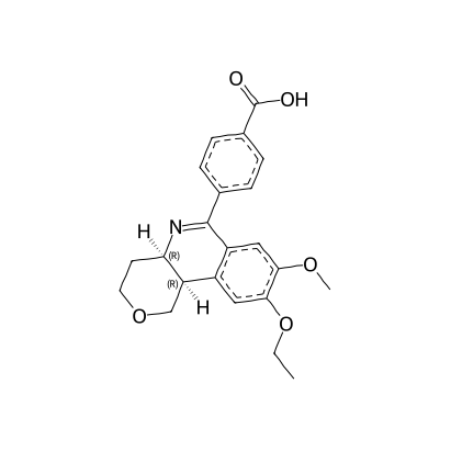 CCOc1cc2c(cc1OC)C(c1ccc(C(=O)O)cc1)=N[C@@H]1CCOC[C@H]21